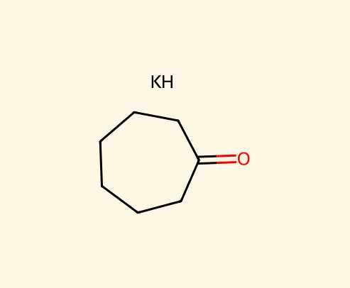 O=C1CCCCCC1.[KH]